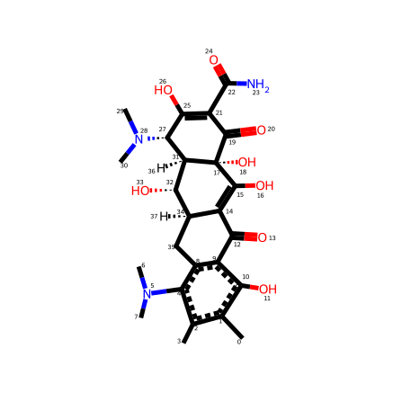 Cc1c(C)c(N(C)C)c2c(c1O)C(=O)C1=C(O)[C@]3(O)C(=O)C(C(N)=O)=C(O)[C@@H](N(C)C)[C@@H]3[C@@H](O)[C@@H]1C2